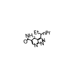 CCCC(CC)C1=C2CC(C(N)=O)=CN=C2N=N1